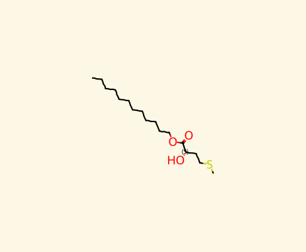 CCCCCCCCCCCCOC(=O)[C@@H](O)CCSC